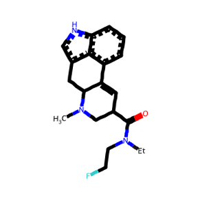 CCN(CCF)C(=O)C1C=C2c3cccc4[nH]cc(c34)CC2N(C)C1